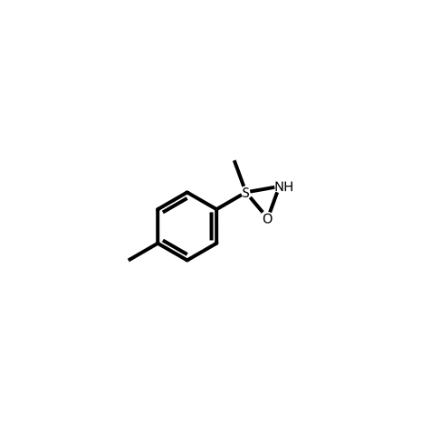 Cc1ccc(S2(C)NO2)cc1